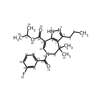 CCCc1n[nH]c2c1C(C)(C)CN(C(=O)c1cccc(F)c1)C=C2C(=O)OC(C)C